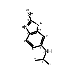 CC(C)Nc1ccc2nc(S)sc2c1